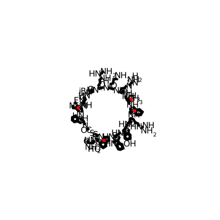 CCC1NC(=O)[C@H](Cc2cnc[nH]2)NC(=O)[C@H](Cc2ccccc2)NC(=O)CSC[C@@H](C(=O)NCC(N)=O)NC(=O)C(Cc2ccc(O)cc2)NC(=O)[C@H](Cc2c[nH]c3ccccc23)NC(=O)[C@H](Cc2ccc(O)cc2)NC(=O)C(CCCNC(=N)N)NC(=O)[C@H](Cc2ccccc2)NC(=O)C(C)(C)NC(=O)[C@H](CCCNC(=N)N)NC(=O)[C@H](CCCCN)NC(=O)[C@H](CCCNC(=N)N)NC(=O)[C@H]([C@@H](C)CC)NC1=O